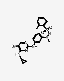 Cc1ccccc1S(=O)(=O)N=S(C)c1cccc(Nc2ncc(Br)c(NC3CC3)n2)c1